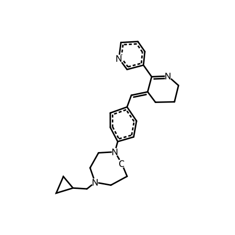 C(=C1CCCN=C1c1cccnc1)c1ccc(N2CCCN(CC3CC3)CC2)cc1